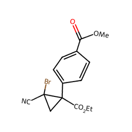 CCOC(=O)C1(c2ccc(C(=O)OC)cc2)CC1(Br)C#N